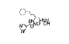 O=C(C[C@@H](CCCC1CCCCC1)c1noc(-c2cncnc2)n1)NO